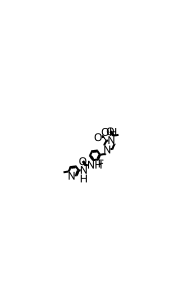 CC(=O)N1CCN(Cc2cccc(NC(=O)Nc3ccc(C)nc3)c2F)C[C@H]1C(=O)O